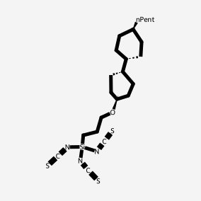 CCCCC[C@H]1CC[C@H]([C@H]2CC[C@H](OCCC[Si](N=C=S)(N=C=S)N=C=S)CC2)CC1